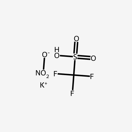 O=S(=O)(O)C(F)(F)F.O=[N+]([O-])[O-].[K+]